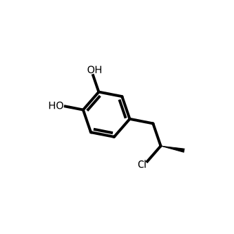 C[C@@H](Cl)Cc1ccc(O)c(O)c1